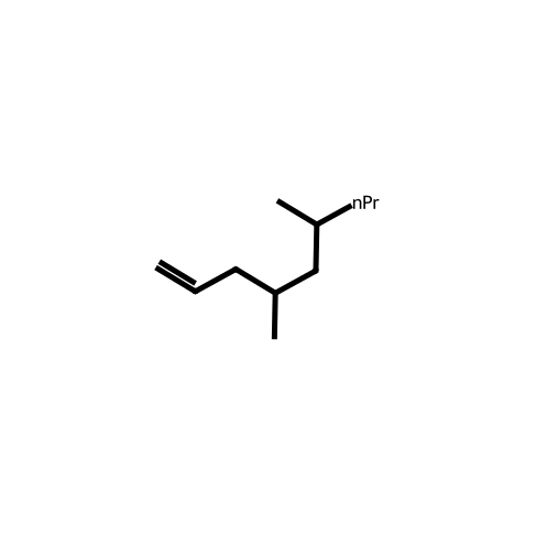 C=CCC(C)CC(C)CCC